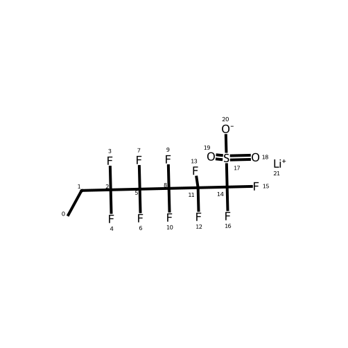 CCC(F)(F)C(F)(F)C(F)(F)C(F)(F)C(F)(F)S(=O)(=O)[O-].[Li+]